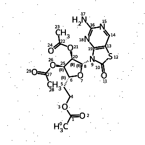 CC(=O)OCC[C@H]1O[C@@H](n2c(=O)sc3cnc(N)nc32)[C@H](OC(C)=O)[C@@H]1OC(C)=O